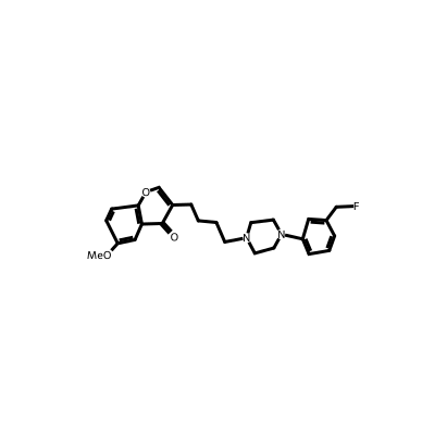 COc1ccc2occ(CCCCN3CCN(c4cccc(CF)c4)CC3)c(=O)c2c1